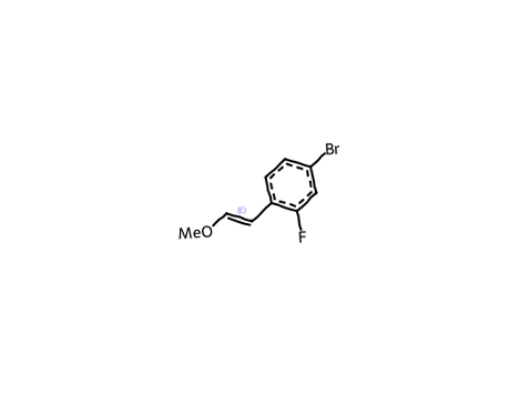 CO/C=C/c1ccc(Br)cc1F